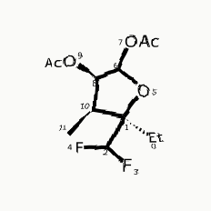 CC[C@@]1(C(F)F)OC(OC(C)=O)[C@H](OC(C)=O)[C@@H]1C